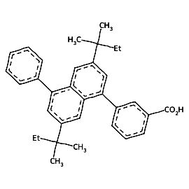 CCC(C)(C)c1cc(-c2cccc(C(=O)O)c2)c2cc(C(C)(C)CC)cc(-c3ccccc3)c2c1